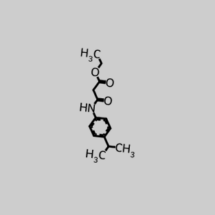 CCOC(=O)CC(=O)Nc1ccc(C(C)C)cc1